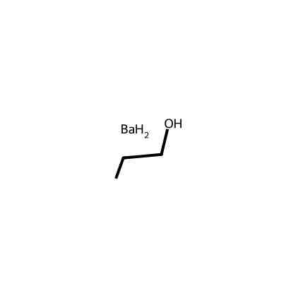 CCCO.[BaH2]